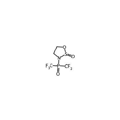 O=S1OCCN1P(=O)(C(F)(F)F)C(F)(F)F